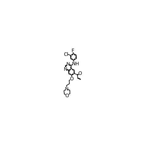 C=CC(=O)c1cc2c(Nc3ccc(F)c(Cl)c3)ncnc2cc1OCCCN1CCOCC1